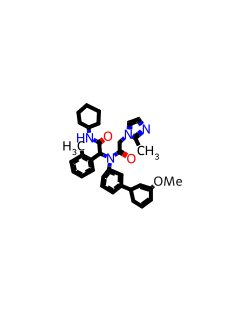 COC1=CC(c2cccc(N(C(=O)Cn3ccnc3C)C(C(=O)NC3CCCCC3)c3ccccc3C)c2)CC=C1